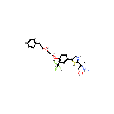 C[C@](N)(CO)C1=NCC(c2ccc(OCCOCCc3ccccc3)c(C(F)(F)F)c2)S1